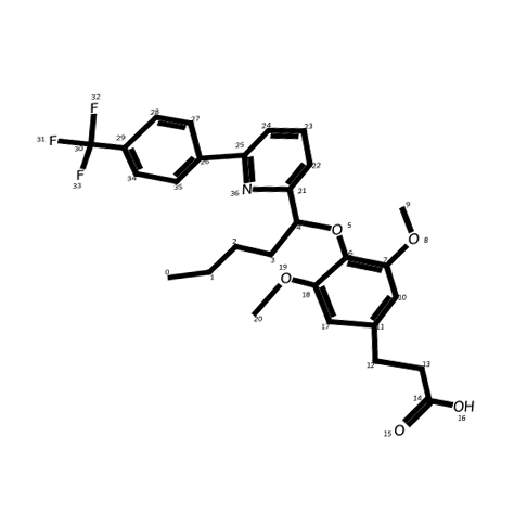 CCCCC(Oc1c(OC)cc(CCC(=O)O)cc1OC)c1cccc(-c2ccc(C(F)(F)F)cc2)n1